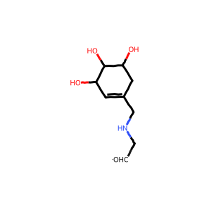 O=[C]CNCC1=CC(O)C(O)C(O)C1